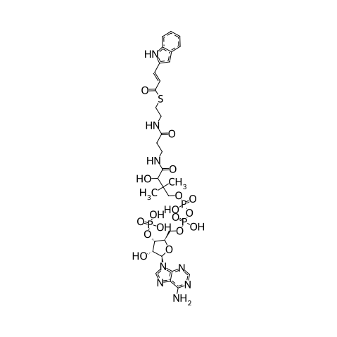 CC(C)(COP(=O)(O)OP(=O)(O)OC[C@H]1O[C@@H](n2cnc3c(N)ncnc32)[C@H](O)[C@@H]1OP(=O)(O)O)C(O)C(=O)NCCC(=O)NCCSC(=O)C=Cc1cc2ccccc2[nH]1